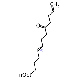 C=CCCC(=O)CC/C=C/CCCCCCCCCCC